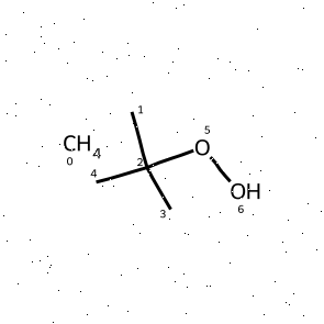 C.CC(C)(C)OO